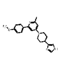 Cc1cc(N2CCC(c3c[nH]cn3)CC2)cc(-c2ccc(OC(F)(F)F)cc2)n1